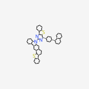 c1ccc2c(-c3ccc(-c4nc(-n5c6ccccc6c6cc7c(ccc8c9ccccc9sc78)cc65)nc5c4sc4ccccc45)cc3)cccc2c1